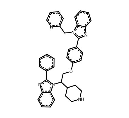 c1ccc(-c2nc3ccccc3n2C(COc2ccc(-c3nc4ccccc4n3Cc3ccccn3)cc2)C2CCNCC2)cc1